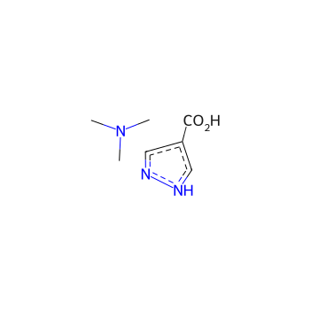 CN(C)C.O=C(O)c1cn[nH]c1